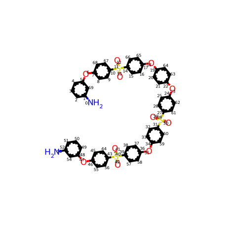 Nc1cccc(Oc2ccc(S(=O)(=O)c3ccc(Oc4ccc(Oc5ccc(S(=O)(=O)c6ccc(Oc7ccc(S(=O)(=O)c8ccc(Oc9cccc(N)c9)cc8)cc7)cc6)cc5)cc4)cc3)cc2)c1